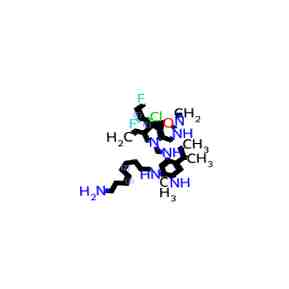 C=CC(/C=C(Cl)\C(F)=C/CF)CN(CNC1=CC(C)(NCCC/C=C\C=C/CCN)C(=N)C=C1C(C)CC)C(CNC(=O)N=C)=C1CC1